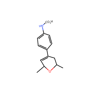 CC1C=C(c2ccc(NC(=O)O)cc2)CC(C)O1